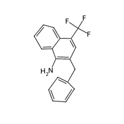 Nc1c(Cc2ccccc2)cc(C(F)(F)F)c2ccccc12